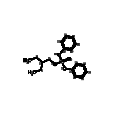 CCC(CC)COP(=O)(Oc1ccccc1)Oc1ccccc1